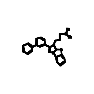 CCN(CC)CCCN1C(c2cccc(-c3ccccc3)c2)=CN2c3ccccc3SC12